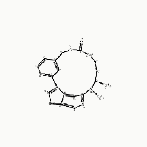 C[C@@H]1CCNC(=O)OCc2cccc(c2)-c2n[nH]c3cnc(cc23)N1C